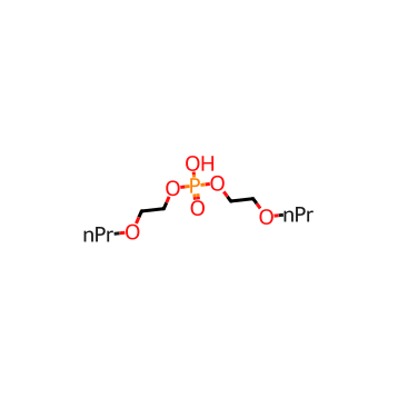 CCCOCCOP(=O)(O)OCCOCCC